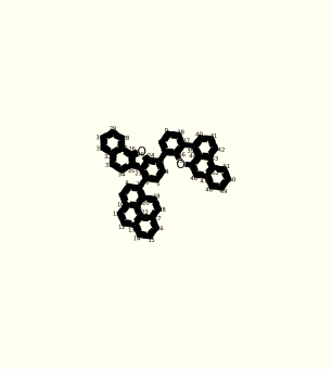 c1cc(-c2ccc(-c3ccc4ccc5cccc6ccc3c4c56)c3c2oc2c4ccccc4ccc23)c2c(c1)-c1cccc3c1c(cc1ccccc13)O2